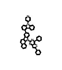 c1ccc(-c2cc3nc(-n4c5ccc(-c6cccc7c6c6ccccc6n7-c6ccncc6)cc5c5ccc6ccccc6c54)nc(-c4ccccc4)c3s2)cc1